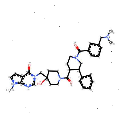 CN(C)Cc1cccc(C(=O)N2CCC(C(=O)N3CCC(O)(Cn4cnc5c(ccn5C)c4=O)CC3)C(c3ccccc3)C2)c1